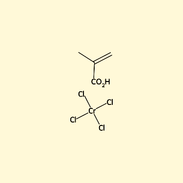 C=C(C)C(=O)O.[Cl][Cr]([Cl])([Cl])[Cl]